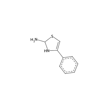 NC1NC(c2ccccc2)=CS1